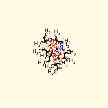 C=CC(C)(C)O[Si](OC(C)CC)(OC(C)CC)O[Si](C)(O[Si](OC(C)CC)(OC(C)CC)OC(C)(C)C=C)N(C)C